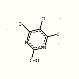 O=Cc1nc(Cl)c(Cl)c(Cl)n1